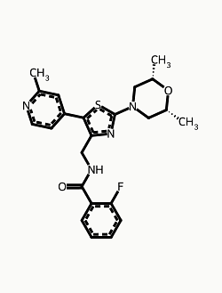 Cc1cc(-c2sc(N3C[C@@H](C)O[C@@H](C)C3)nc2CNC(=O)c2ccccc2F)ccn1